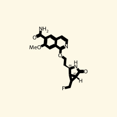 COc1cc2c(OCC[C@H]3NC(=O)[C@@H]4C(CF)C43)nccc2cc1C(N)=O